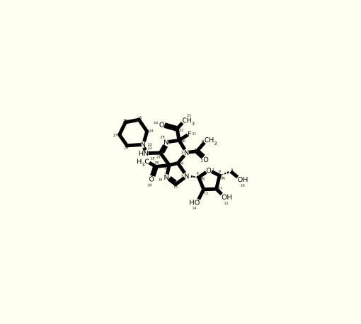 CC(=O)N1C2N([C@@H]3O[C@H](CO)C(O)C3O)C=NC2(C(C)=O)C(NN2CCCCC2)=NC1(F)C(C)=O